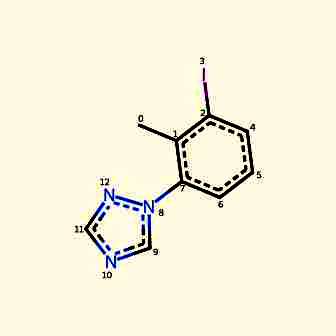 Cc1c(I)cccc1-n1cncn1